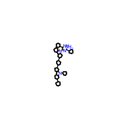 NC(/N=C(\[C@H](N)c1ccccc1)n1c2ccccc2c2cc(-c3ccc(-c4ccc5c6ccc(-c7ccccc7)cc6n(-c6ccccc6)c5c4)cc3)ccc21)c1ccccc1